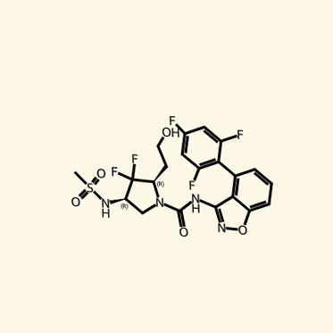 CS(=O)(=O)N[C@@H]1CN(C(=O)Nc2noc3cccc(-c4c(F)cc(F)cc4F)c23)[C@H](CCO)C1(F)F